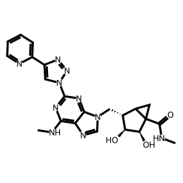 CNC(=O)C12CC1[C@@H](Cn1cnc3c(NC)nc(-n4cc(-c5ccccn5)nn4)nc31)[C@H](O)[C@@H]2O